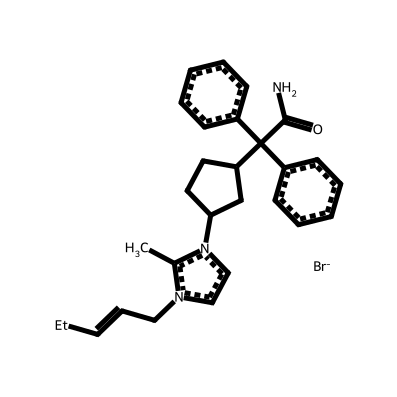 CCC=CC[n+]1ccn(C2CCC(C(C(N)=O)(c3ccccc3)c3ccccc3)C2)c1C.[Br-]